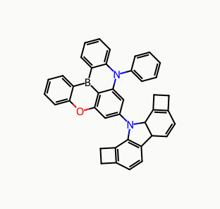 C1=CC2c3ccc4c(c3N(c3cc5c6c(c3)N(c3ccccc3)c3ccccc3B6c3ccccc3O5)C2C2=C1CC2)CC4